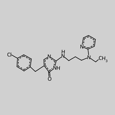 CCN(CCCNc1ncc(Cc2ccc(Cl)cc2)c(=O)[nH]1)c1ccccn1